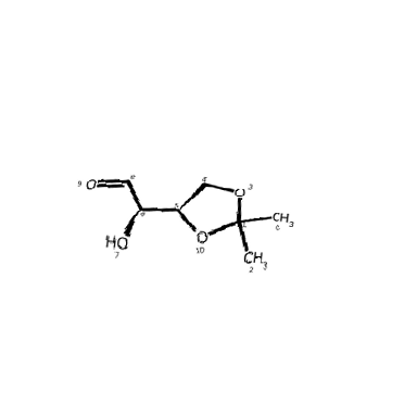 CC1(C)OC[C@H]([C@@H](O)C=O)O1